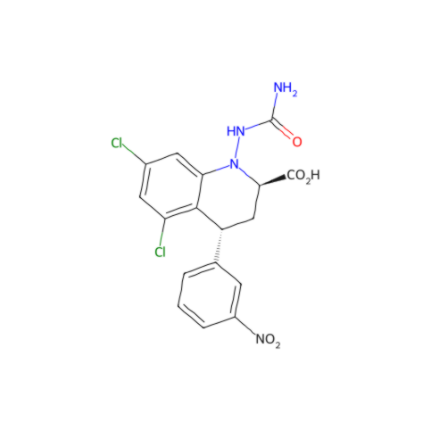 NC(=O)NN1c2cc(Cl)cc(Cl)c2[C@@H](c2cccc([N+](=O)[O-])c2)C[C@@H]1C(=O)O